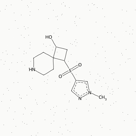 Cn1cc(S(=O)(=O)C2CC(O)C23CCNCC3)cn1